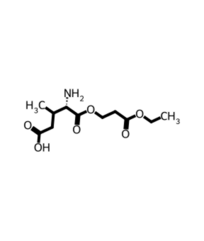 CCOC(=O)CCOC(=O)[C@@H](N)C(C)CC(=O)O